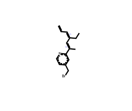 C=C/C=C(\C=C(/C)c1cc(CBr)ccn1)CC